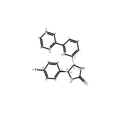 O=C1N[C@@H](c2cccc(-c3cnccn3)n2)[C@H](c2ccc(F)cc2)O1